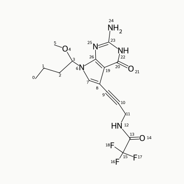 CCCC(OC)n1cc(C#CCNC(=O)C(F)(F)F)c2c(=O)[nH]c(N)nc21